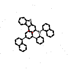 c1cc(-c2ccccc2N(c2ccc3c(c2)sc2ccccc23)c2cccc3ccccc23)cc(-c2cccc3ccccc23)c1